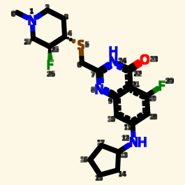 CN1CC[C@H](SCc2nc3cc(NC4CCCC4)cc(F)c3c(=O)[nH]2)[C@@H](F)C1